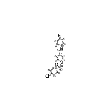 O=S(=O)(Oc1ccc(/C=N/c2ccc(F)cc2F)cc1)c1ccc(Cl)cc1